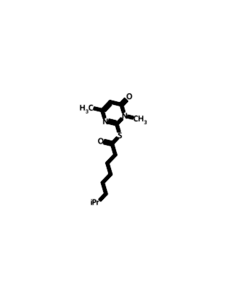 Cc1cc(=O)n(C)c(SC(=O)CCCCCC(C)C)n1